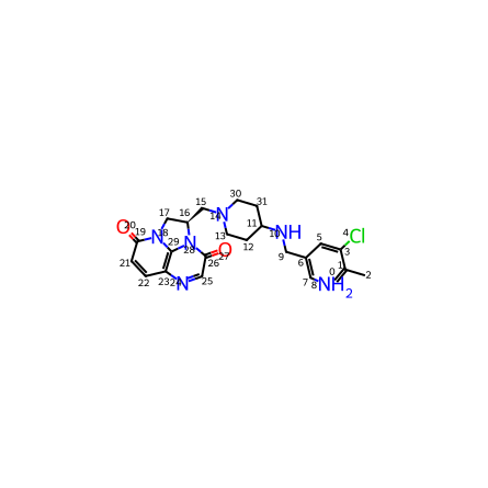 C=C(C)/C(Cl)=C\C(=C/N)CNC1CCN(C[C@@H]2Cn3c(=O)ccc4ncc(=O)n2c43)CC1